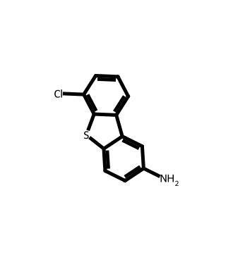 Nc1ccc2sc3c(Cl)cccc3c2c1